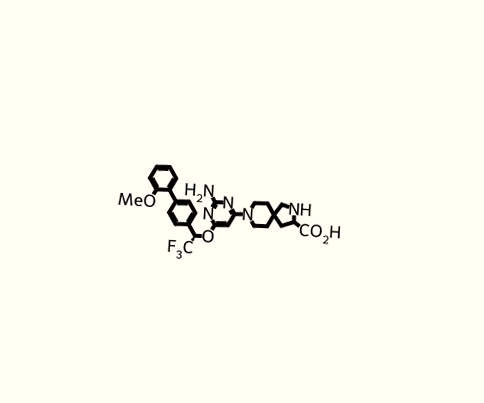 COc1ccccc1-c1ccc([C@@H](Oc2cc(N3CCC4(CC3)CNC(C(=O)O)C4)nc(N)n2)C(F)(F)F)cc1